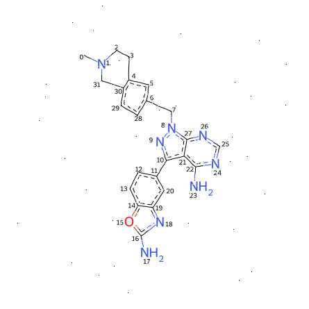 CN1CCc2cc(Cn3nc(-c4ccc5oc(N)nc5c4)c4c(N)ncnc43)ccc2C1